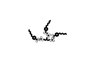 CCCCCCc1ccc(C(=O)OOC(=O)OCCC(CCOC(=O)OOC(=O)c2ccc(CCCCCC)cc2)COC(=O)OOC(=O)c2ccc(CCCCCC)cc2)cc1